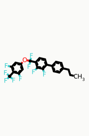 CCCc1ccc(-c2ccc(C(F)(F)Oc3cc(F)c(C(F)(F)F)c(F)c3)c(F)c2F)cc1